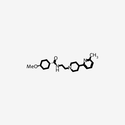 CO[C@H]1CC[C@H](C(=O)NCCN2CCC(c3cccc(C)n3)CC2)CC1